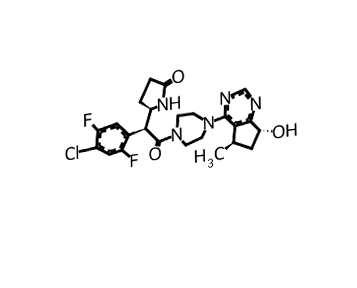 C[C@@H]1C[C@@H](O)c2ncnc(N3CCN(C(=O)[C@@H](c4cc(F)c(Cl)cc4F)[C@H]4CCC(=O)N4)CC3)c21